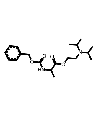 CC(NC(=O)OCc1ccccc1)C(=O)OCCN(C(C)C)C(C)C